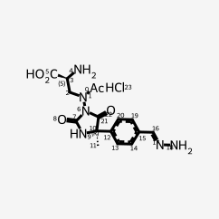 CC(=O)N(C[C@H](N)C(=O)O)N1C(=O)N[C@](C)(c2ccc(C=NN)cc2)C1=O.Cl